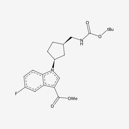 COC(=O)c1cn([C@H]2CC[C@@H](CNC(=O)OC(C)(C)C)C2)c2ccc(F)cc12